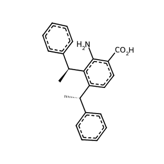 C[C@@H](c1ccccc1)c1ccc(C(=O)O)c(N)c1[C@@H](C)c1ccccc1